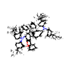 Cc1cc(N(c2ccc(C(C)(C)C)cc2)c2cc3c(c4c2oc2ccccc24)-c2ccc(N(c4ccc(C(C)(C)C)cc4)c4ccc(C(C)(C)C)cc4)cc2C3(c2ccccc2)c2ccccc2)ccc1C(C)(C)C